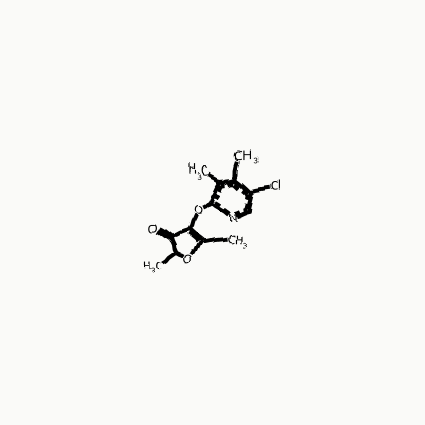 CC1=C(Oc2ncc(Cl)c(C)c2C)C(=O)C(C)O1